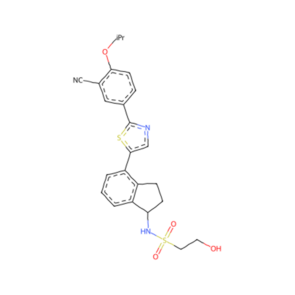 CC(C)Oc1ccc(-c2ncc(-c3cccc4c3CCC4NS(=O)(=O)CCO)s2)cc1C#N